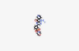 Nc1ncc(-c2cccc(S(=O)(=O)N3CCOCC3)c2)nc1C(=O)c1cccnc1